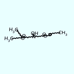 CCCCCCCCC(CCCCCCCC)OC(=O)CCCCCCCN(CCO)CCCCCCCC(=O)OCCc1ccc(CCCCCCC)cc1